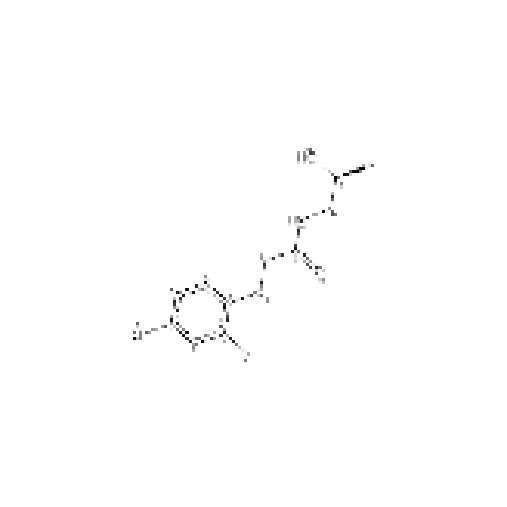 Cc1cc(Cl)ccc1OCC(=O)NC[C@H](C)O